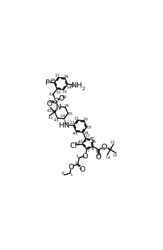 CCOC(=O)COc1c(C(=O)OC(C)(C)C)sc(-c2cccc(N[C@H]3CCN(S(=O)(=O)Cc4cc(N)ccc4F)C(C)(C)C3)c2)c1Cl